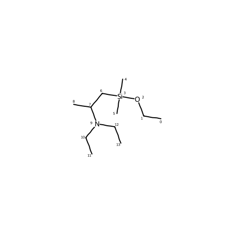 CCO[Si](C)(C)CC(C)N(CC)CC